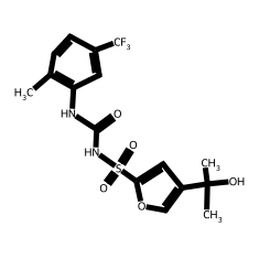 Cc1ccc(C(F)(F)F)cc1NC(=O)NS(=O)(=O)c1cc(C(C)(C)O)co1